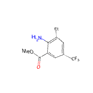 CCc1cc(C(F)(F)F)cc(C(=O)OC)c1N